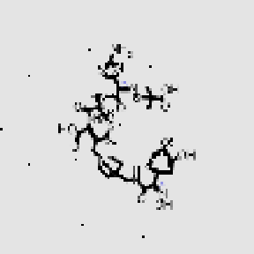 C[C@@H]1S[C@@H]2[C@H](NC(=O)/C(=N\OC(C)(C)C(=O)O)c3csc(N)n3)C(=O)N2C(C(=O)O)=C1C[N+]12CCC(CNC(=O)/C(=N\O)c3ccc(O)c(O)c3)(CC1)CC2